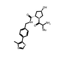 Cc1ncsc1-c1ccc(CNC(=O)[C@@H]2C[C@@H](O)CN2C(=O)C(N)C(C)(C)C)cc1